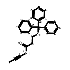 CC#CNC(=O)CCSC(c1ccccc1)(c1ccccc1)c1ccccc1